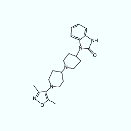 Cc1noc(C)c1N1CCC(N2CCC(n3c(=O)[nH]c4ccccc43)CC2)CC1